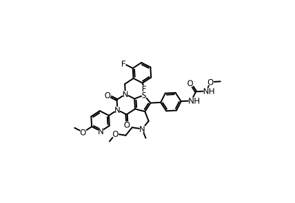 COCCN(C)Cc1c(-c2ccc(NC(=O)NOC)cc2)sc2c1c(=O)n(-c1ccc(OC)nc1)c(=O)n2Cc1c(F)cccc1F